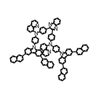 c1ccc2cc(-c3ccc4c(c3)c3cc(-c5ccc6ccccc6c5)ccc3n4-c3ccc(N(c4ccc(-c5nc6ccccc6nc5-c5ccc(N(c6ccc(-n7c8ccc(-c9ccc%10ccccc%10c9)cc8c8cc(-c9ccc%10ccccc%10c9)ccc87)cc6)c6cccc7cccnc67)cc5)cc4)c4cccc5cccnc45)cc3)ccc2c1